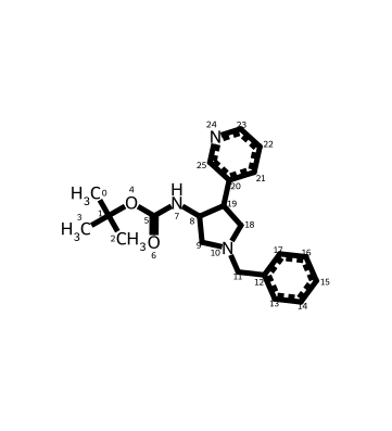 CC(C)(C)OC(=O)NC1CN(Cc2ccccc2)CC1c1cccnc1